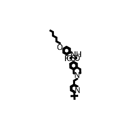 CCCCCCOc1ccc(NS(=O)(=O)c2ccc3c(c2)CCN(CCc2ccc(C(C)(C)C)nc2)C3)c(F)c1